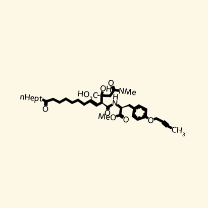 CC#CCOc1ccc(C[C@H](NC(=O)[C@@H](/C=C/CCCCCCC(=O)CCCCCCC)[C@@](O)(CC(=O)NC)C(=O)O)C(=O)OC)cc1